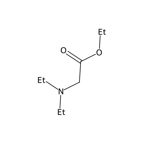 [CH2]COC(=O)CN(CC)CC